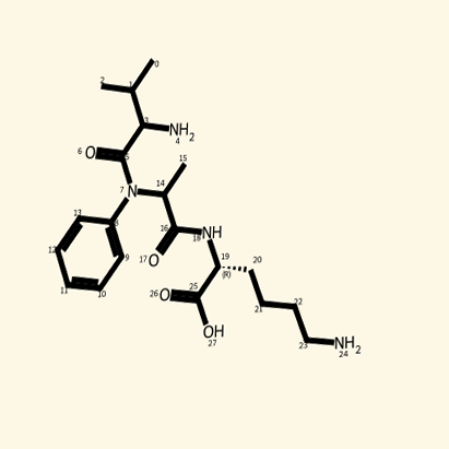 CC(C)C(N)C(=O)N(c1ccccc1)C(C)C(=O)N[C@H](CCCCN)C(=O)O